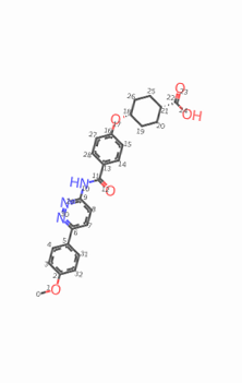 COc1ccc(-c2ccc(NC(=O)c3ccc(O[C@H]4CC[C@@H](C(=O)O)CC4)cc3)nn2)cc1